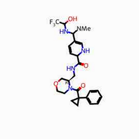 CNC(NC(O)C(F)(F)F)C1=CNC(C(=O)NC[C@@H]2COCCN2C(=O)C2(c3ccccc3)CC2)C=C1